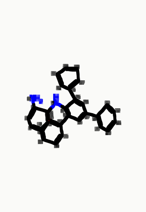 Nc1ccccc1Nc1c(-c2ccccc2)cc(-c2ccccc2)cc1-c1ccccc1